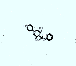 CC(=O)C(Oc1ccccc1)(C(=O)O)N1C(=O)CN(C2CCNCC2)CC1=O.Cl